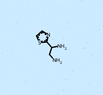 NCC(N)c1nccs1